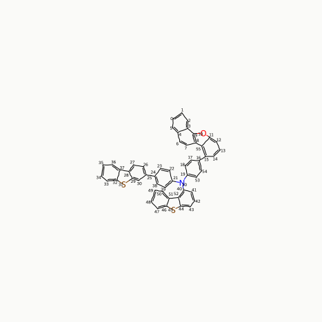 c1ccc2c(c1)ccc1c2oc2cccc(-c3ccc(N(c4ccc(-c5ccc6c(c5)sc5ccccc56)cc4)c4cccc5sc6ccccc6c45)cc3)c21